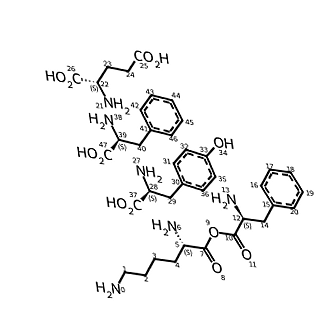 NCCCC[C@H](N)C(=O)OC(=O)[C@@H](N)Cc1ccccc1.N[C@@H](CCC(=O)O)C(=O)O.N[C@@H](Cc1ccc(O)cc1)C(=O)O.N[C@@H](Cc1ccccc1)C(=O)O